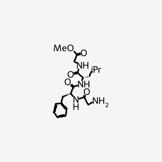 COC(=O)CNC(=O)[C@H](CC(C)C)NC(=O)[C@H](Cc1ccccc1)NC(=O)CN